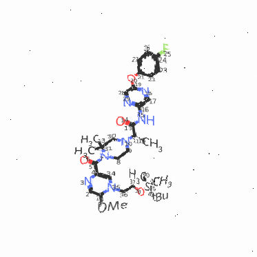 COC1C=NC(C(=O)N2CCN([C@@H](C)C(=O)Nc3cnc(Oc4ccc(F)cc4)cn3)CC2(C)C)=CN1CCO[Si](C)(C)C(C)(C)C